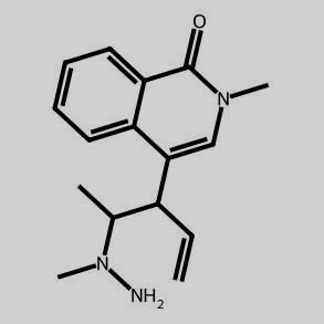 C=CC(c1cn(C)c(=O)c2ccccc12)C(C)N(C)N